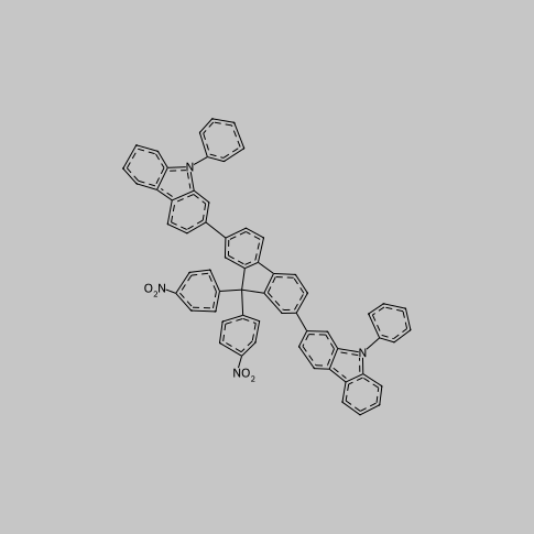 O=[N+]([O-])c1ccc(C2(c3ccc([N+](=O)[O-])cc3)c3cc(-c4ccc5c6ccccc6n(-c6ccccc6)c5c4)ccc3-c3ccc(-c4ccc5c6ccccc6n(-c6ccccc6)c5c4)cc32)cc1